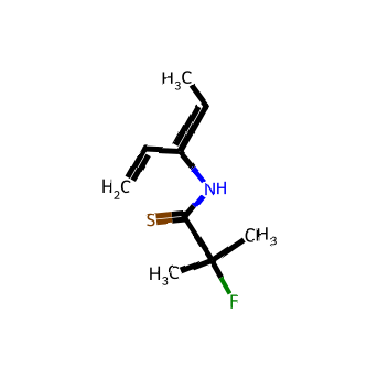 C=C/C(=C\C)NC(=S)C(C)(C)F